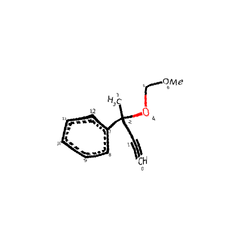 C#CC(C)(OCOC)c1ccccc1